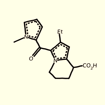 CCc1cc2n(c1C(=O)c1cccn1C)CCCC2C(=O)O